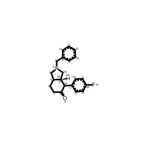 O=C1CCC2CN(Cc3ccccc3)C[C@@H]2C1c1ccc(F)cc1